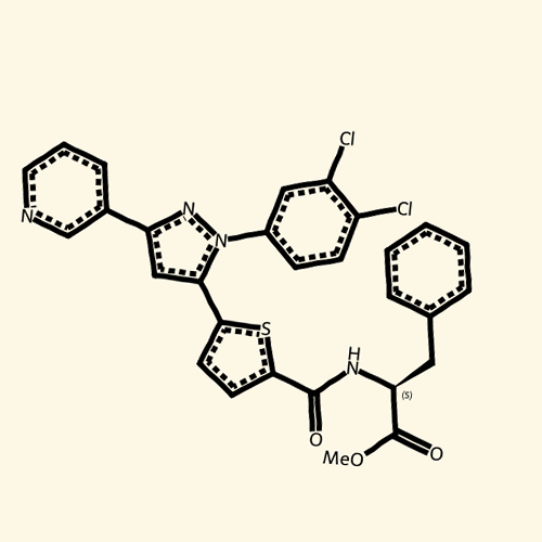 COC(=O)[C@H](Cc1ccccc1)NC(=O)c1ccc(-c2cc(-c3cccnc3)nn2-c2ccc(Cl)c(Cl)c2)s1